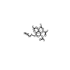 CC(=O)OC1O[C@@H](CCN=[N+]=[N-])[C@@H](OC(C)=O)[C@@H](OC(C)=O)[C@@H]1OC(C)=O